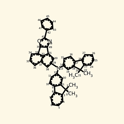 CC1(C)c2ccccc2-c2ccc(N(c3ccc4c(c3)C(C)(C)c3ccccc3-4)c3cc4c5c(cccc5c3)-c3oc(-c5ccccc5)nc3-4)cc21